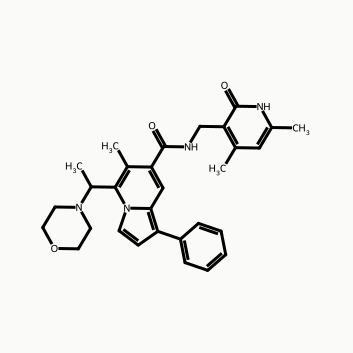 Cc1cc(C)c(CNC(=O)c2cc3c(-c4ccccc4)ccn3c(C(C)N3CCOCC3)c2C)c(=O)[nH]1